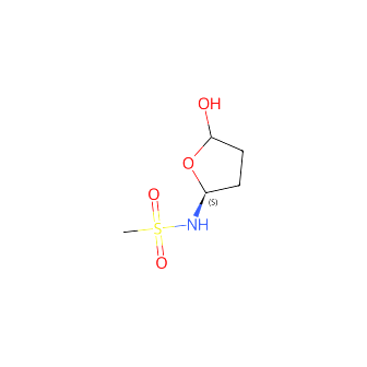 CS(=O)(=O)N[C@@H]1CCC(O)O1